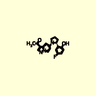 CC(=O)c1cnn2ccc(N3CCC[C@@H]3c3cc(F)ccc3O)cc12